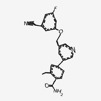 Cc1cc(-c2cncc(COc3cc(F)cc(C#N)c3)c2)ccc1C(N)=O